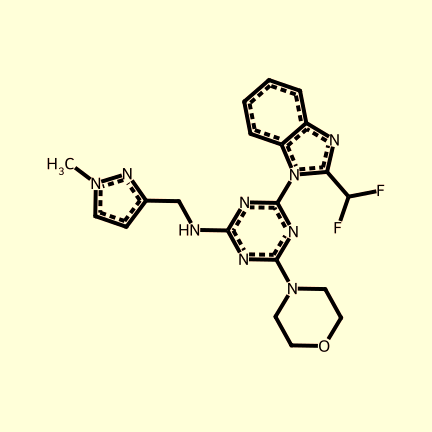 Cn1ccc(CNc2nc(N3CCOCC3)nc(-n3c(C(F)F)nc4ccccc43)n2)n1